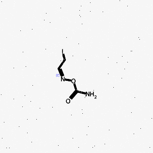 NC(=O)O/N=C\CI